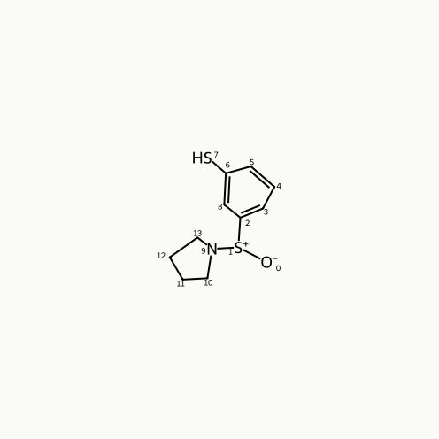 [O-][S+](c1cccc(S)c1)N1CCCC1